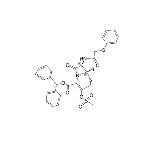 CS(=O)(=O)OC1=C(C(=O)OC(c2ccccc2)c2ccccc2)N2C(=O)[C@@H](NC(=O)CSc3ccccc3)[C@@H]2SC1